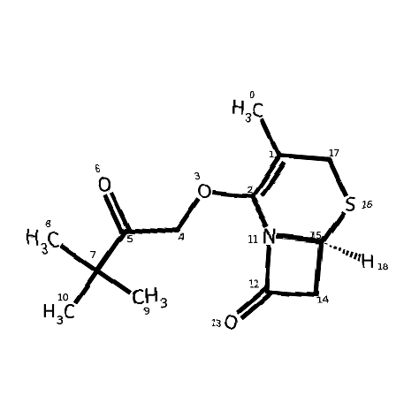 CC1=C(OCC(=O)C(C)(C)C)N2C(=O)C[C@@H]2SC1